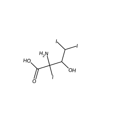 NC(I)(C(=O)O)C(O)C(I)I